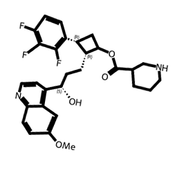 COc1ccc2nccc([C@@H](O)CC[C@H]3C(OC(=O)C4CCCNC4)C[C@H]3c3ccc(F)c(F)c3F)c2c1